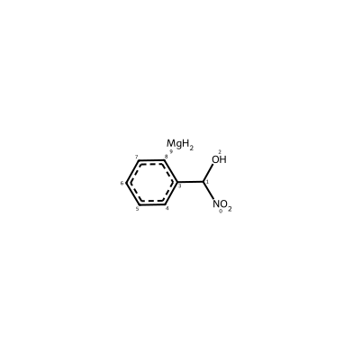 O=[N+]([O-])C(O)c1ccccc1.[MgH2]